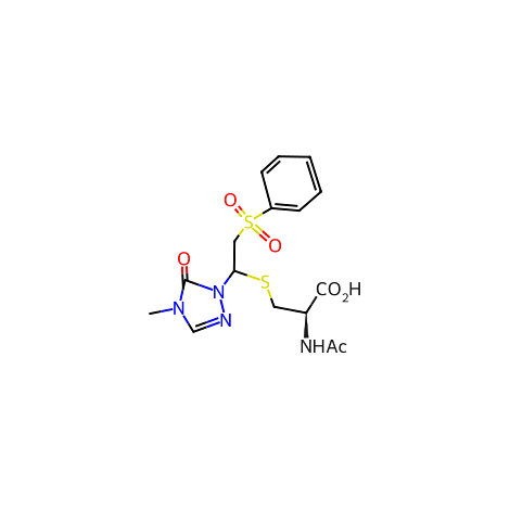 CC(=O)N[C@@H](CSC(CS(=O)(=O)c1ccccc1)n1ncn(C)c1=O)C(=O)O